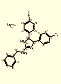 Cl.Fc1ccc(C2N=C(NCc3ccccc3)NC2c2ccc(F)cc2)cc1